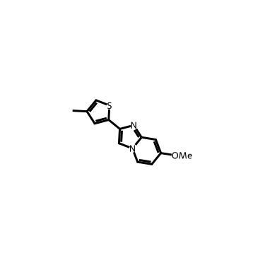 COc1ccn2cc(-c3cc(C)cs3)nc2c1